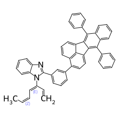 C=C/C(=C\C=C/C)n1c(-c2cccc(-c3ccc4c5c(cccc35)-c3c-4c(-c4ccccc4)c4ccccc4c3-c3ccccc3)c2)nc2ccccc21